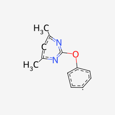 Cc1cc(C)nc(Oc2cc[c]cc2)n1